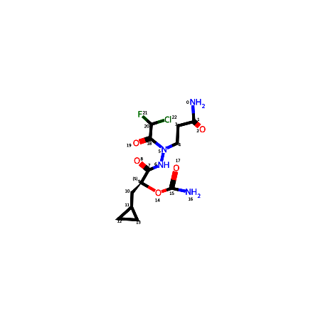 NC(=O)CCN(NC(=O)[C@H](CC1CC1)OC(N)=O)C(=O)C(F)Cl